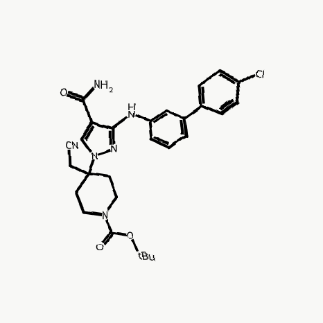 CC(C)(C)OC(=O)N1CCC(CC#N)(n2cc(C(N)=O)c(Nc3cccc(-c4ccc(Cl)cc4)c3)n2)CC1